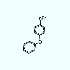 CCCc1ccc(Oc2ccccc2)cc1